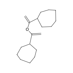 C=C(OC(=C)C1CCCCCC1)C1CCCCCC1